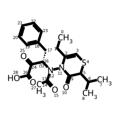 CCC1=CSC(C(C)C)C(=O)N1N(C(C)=O)[C@@H](Cc1ccccc1)C(=O)C(=O)O